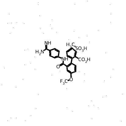 CS(=O)(=O)O.N=C(N)c1ccc(NC(=O)c2cc(OC(F)(F)F)ccc2-c2ccccc2C(=O)O)cc1